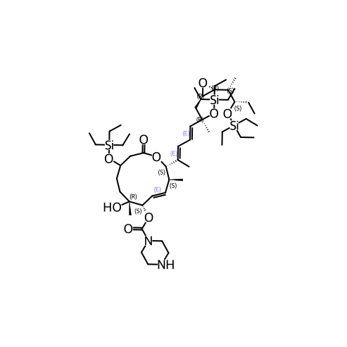 CC[C@H](O[Si](CC)(CC)CC)[C@@H](C)[C@H]1O[C@@H]1C[C@](C)(/C=C/C=C(\C)[C@H]1OC(=O)CC(O[Si](CC)(CC)CC)CC[C@@](C)(O)[C@@H](OC(=O)N2CCNCC2)/C=C/[C@@H]1C)O[Si](CC)(CC)CC